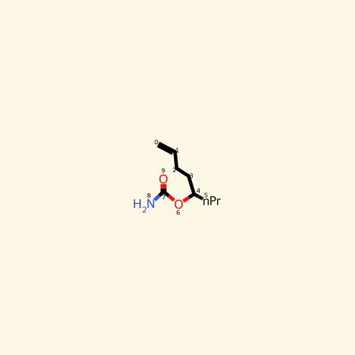 C=CCCC(CCC)OC(N)=O